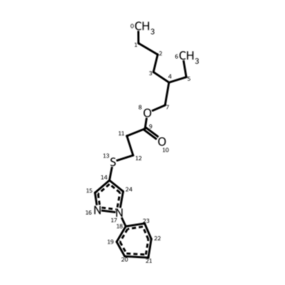 CCCCC(CC)COC(=O)CCSc1cnn(-c2ccccc2)c1